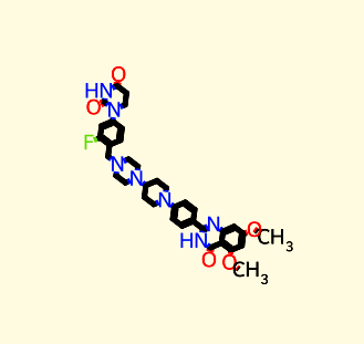 COc1cc(OC)c2c(=O)[nH]c(-c3ccc(N4CCC(N5CCN(Cc6ccc(N7CCC(=O)NC7=O)cc6F)CC5)CC4)cc3)nc2c1